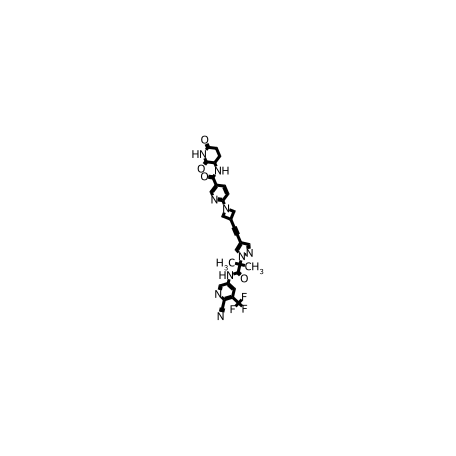 CC(C)(C(=O)Nc1cnc(C#N)c(C(F)(F)F)c1)n1cc(C#CC2CN(c3ccc(C(=O)NC4CCC(=O)NC4=O)cn3)C2)cn1